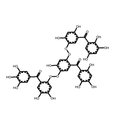 O=C(c1cc(O)c(O)c(O)c1)c1cc(O)c(O)cc1OOc1cc(C(=O)c2cc(O)c(O)cc2O)c(OOc2cc(C(=O)c3cc(O)cc(O)c3O)c(O)cc2O)cc1O